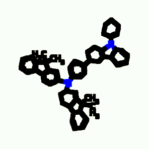 CC1(C)c2ccccc2-c2ccc(N(c3ccc(C4CCC5=C(C4)C4C=CC=CC4N5C4=CCCCC4)cc3)C3C=C4C(CC3)C3C=CC=CC3C4(C)C)cc21